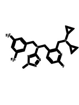 Cn1nnc(N(Cc2cc(C(F)(F)F)cc(C(F)(F)F)c2)Cc2ccc(F)nc2CN(C2CC2)C2CC2)n1